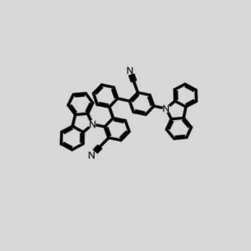 N#Cc1cc(-n2c3ccccc3c3ccccc32)ccc1-c1ccccc1-c1cccc(C#N)c1-n1c2ccccc2c2ccccc21